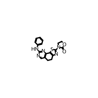 O=C1OCCN1c1nc2c(s1)-c1nc(Nc3ccccc3)ncc1CC2